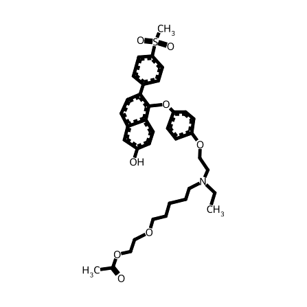 CCN(CCCCCOCCOC(C)=O)CCOc1ccc(Oc2c(-c3ccc(S(C)(=O)=O)cc3)ccc3cc(O)ccc23)cc1